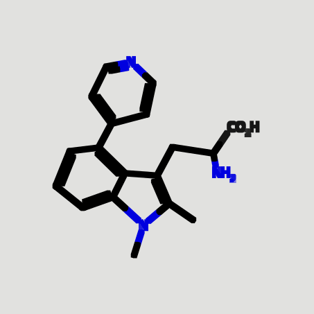 Cc1c(CC(N)C(=O)O)c2c(-c3ccncc3)cccc2n1C